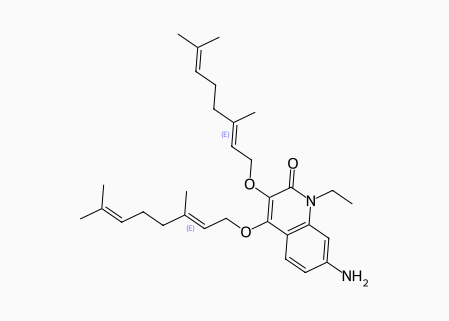 CCn1c(=O)c(OC/C=C(\C)CCC=C(C)C)c(OC/C=C(\C)CCC=C(C)C)c2ccc(N)cc21